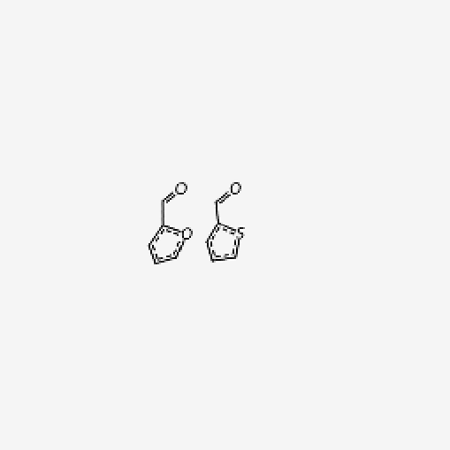 O=Cc1ccco1.O=Cc1cccs1